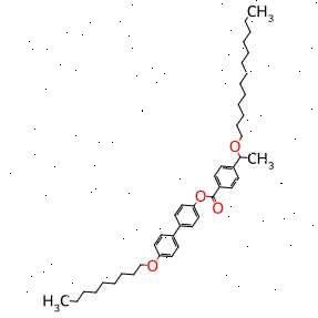 CCCCCCCCCCCCCOC(C)c1ccc(C(=O)Oc2ccc(-c3ccc(OCCCCCCCCC)cc3)cc2)cc1